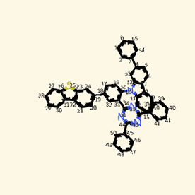 c1ccc(-c2ccc3c4ccccc4n(-c4ccc(-c5ccc6c(c5)sc5ccccc56)cc4-c4nc(-c5ccccc5)nc(-c5ccccc5)n4)c3c2)cc1